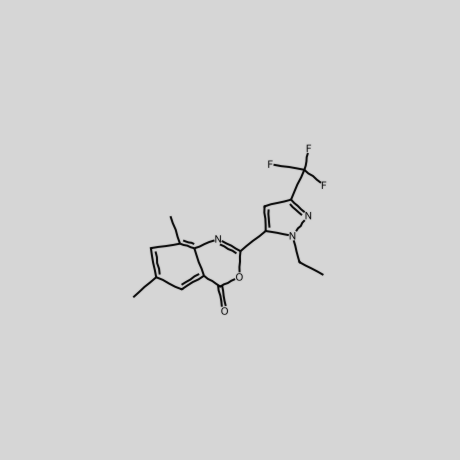 CCn1nc(C(F)(F)F)cc1-c1nc2c(C)cc(C)cc2c(=O)o1